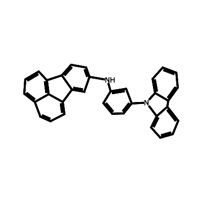 c1cc(Nc2ccc3c(c2)-c2cccc4cccc-3c24)cc(-n2c3ccccc3c3ccccc32)c1